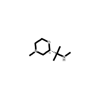 CNC(C)(C)[C@@H]1CN(C)CCO1